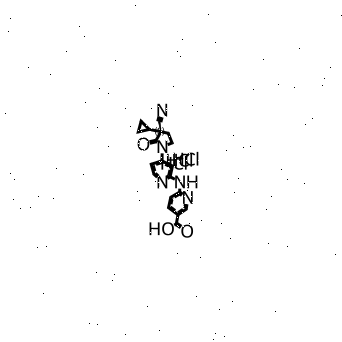 Cl.Cl.Cl.N#C[C@@]1(C2CC2)CCN(c2ccnc(Nc3ccc(C(=O)O)cn3)c2)C1=O